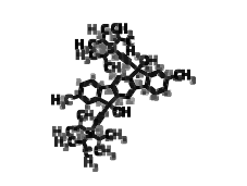 Cc1ccc2c(c1)C(O)(C#C[Si](C(C)C)(C(C)C)C(C)C)c1cc3c(cc1-2)C(O)(C#C[Si](C(C)C)(C(C)C)C(C)C)c1cc(C)ccc1-3